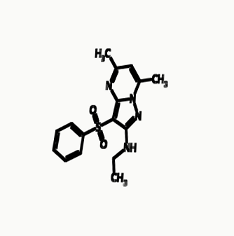 CCNc1nn2c(C)cc(C)nc2c1S(=O)(=O)c1ccccc1